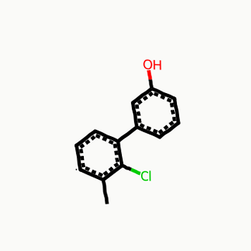 Cc1[c]ccc(-c2cccc(O)c2)c1Cl